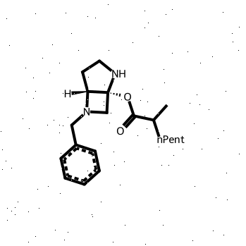 CCCCCC(C)C(=O)O[C@]12CN(Cc3ccccc3)[C@@H]1CCN2